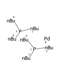 CCCCP(CCCC)CCCC.CCCCP(CCCC)CCCC.[Pd]